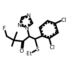 CCSC(c1ccc(Cl)cc1Cl)C(C(=O)C(C)(C)CF)n1cncn1